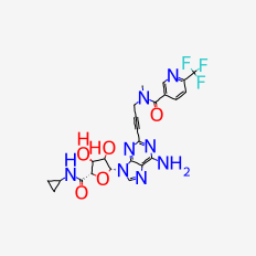 CN(CC#Cc1nc(N)c2ncn([C@@H]3O[C@H](C(=O)NC4CC4)[C@@H](O)C3O)c2n1)C(=O)c1ccc(C(F)(F)F)nc1